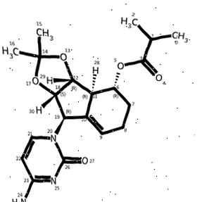 CC(C)C(=O)O[C@@H]1CCC=C2[C@H]1[C@H]1OC(C)(C)O[C@H]1[C@@H]2n1ccc(N)nc1=O